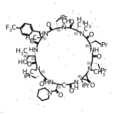 CC(C)C[C@H]1NC(=O)[C@H](CC(C)C)N(C)C2C(=O)[C@]2(C(C)C)NC(=O)C[C@@H](C(=O)N2CCCCC2)NC(=O)[C@H](CC(C)C)N(C)C(=O)[C@H]([C@@H](C)O)NC(=O)[C@](C)(Cc2ccc(C(F)(F)F)cc2)NC(=O)[C@H](CC(C)C)N(C)C(=O)[C@H](C)N(C)C1=O